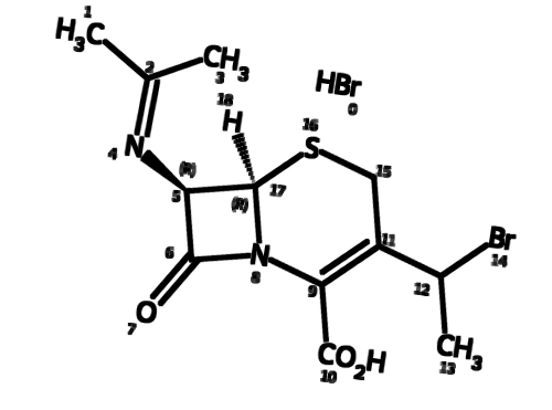 Br.CC(C)=N[C@@H]1C(=O)N2C(C(=O)O)=C(C(C)Br)CS[C@H]12